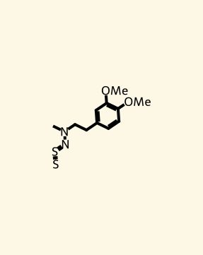 COc1ccc(CCN(C)N=S=S)cc1OC